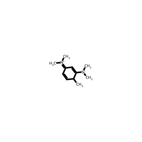 CC1C=CC(=[N+](C)C)C=C1[Si-](C)C